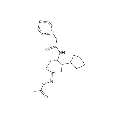 CC(=O)ON=C1CCC(NC(=O)Cc2ccccc2)C(N2CCCC2)C1